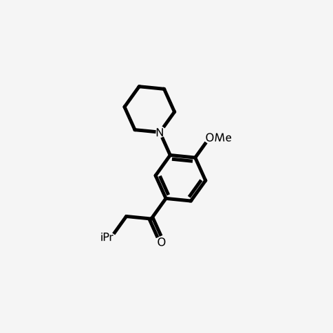 COc1ccc(C(=O)CC(C)C)cc1N1CCCCC1